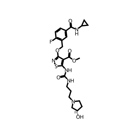 COC(=O)c1c(OCc2cc(C(=O)NC3CC3)ccc2F)nsc1NC(=O)NCCCN1CC[C@H](O)C1